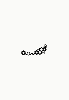 C[C@]12CC[C@@H]3c4ccc(C=CCOCc5ccccc5)cc4CC[C@H]3[C@@H]1CCC2=O